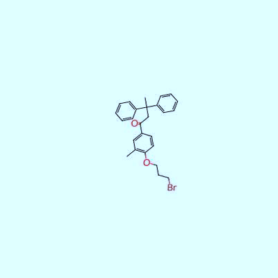 Cc1cc(C(=O)CC(C)(c2ccccc2)c2ccccc2)ccc1OCCCBr